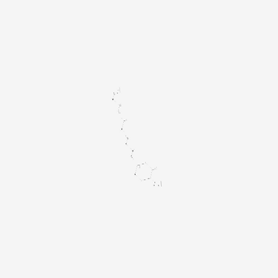 N[C@H]1CC[C@H](OCCOCCOCCO)CC1